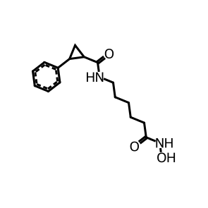 O=C(CCCCCNC(=O)C1CC1c1ccccc1)NO